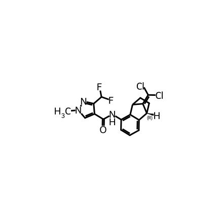 Cn1cc(C(=O)Nc2cccc3c2C2CC[C@H]3C2=C(Cl)Cl)c(C(F)F)n1